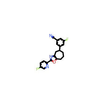 N#Cc1cc(F)cc(C2CCCc3oc(-c4ccc(F)cn4)nc3C2)c1